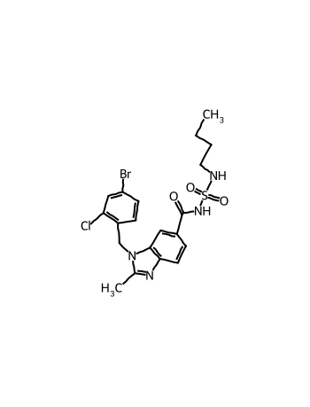 CCCCNS(=O)(=O)NC(=O)c1ccc2nc(C)n(Cc3ccc(Br)cc3Cl)c2c1